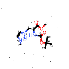 COC(=O)[C@H](Cn1cc[n+](C)n1)NC(=O)OC(C)(C)C